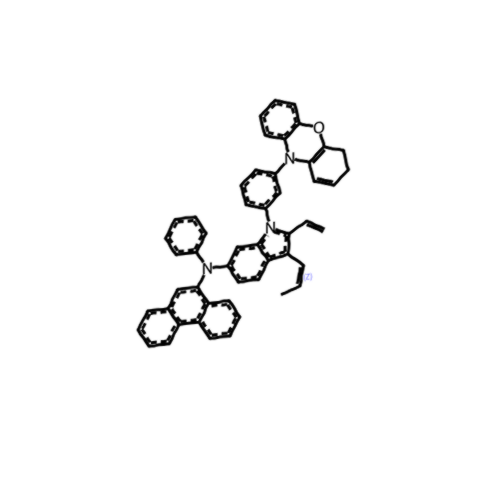 C=Cc1c(/C=C\C)c2ccc(N(c3ccccc3)c3cc4ccccc4c4ccccc34)cc2n1-c1cccc(N2C3=C(CCC=C3)Oc3ccccc32)c1